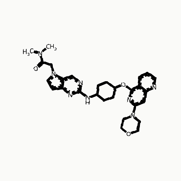 CN(C)C(=O)Cn1ccc2nc(NC3CCC(Oc4nc(N5CCOCC5)cc5ncccc45)CC3)ncc21